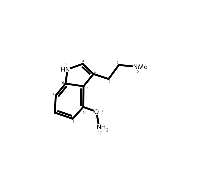 CNCCc1c[nH]c2cccc(ON)c12